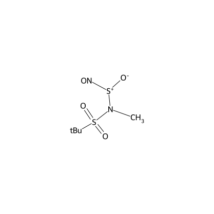 CN([S+]([O-])N=O)S(=O)(=O)C(C)(C)C